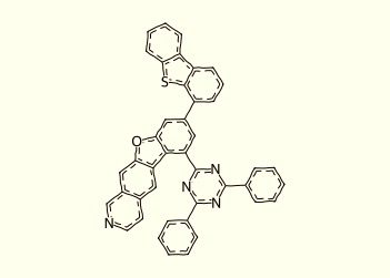 c1ccc(-c2nc(-c3ccccc3)nc(-c3cc(-c4cccc5c4sc4ccccc45)cc4oc5cc6cnccc6cc5c34)n2)cc1